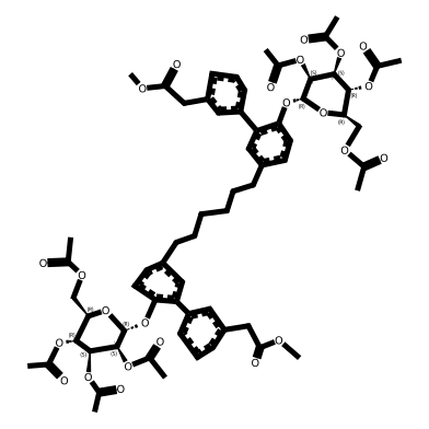 COC(=O)Cc1cccc(-c2cc(CCCCCCc3ccc(O[C@H]4O[C@H](COC(C)=O)[C@@H](OC(C)=O)[C@H](OC(C)=O)[C@@H]4OC(C)=O)c(-c4cccc(CC(=O)OC)c4)c3)ccc2O[C@H]2O[C@H](COC(C)=O)[C@@H](OC(C)=O)[C@H](OC(C)=O)[C@@H]2OC(C)=O)c1